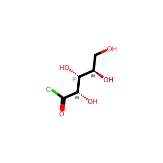 O=C(Cl)[C@@H](O)[C@H](O)[C@H](O)CO